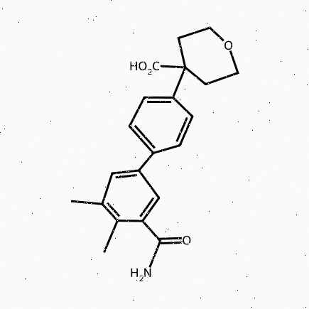 Cc1cc(-c2ccc(C3(C(=O)O)CCOCC3)cc2)cc(C(N)=O)c1C